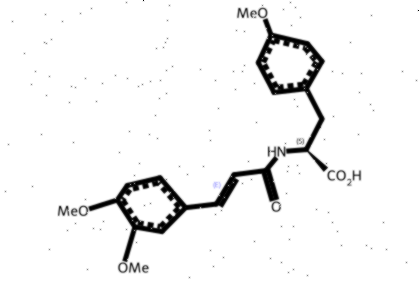 COc1ccc(C[C@H](NC(=O)/C=C/c2ccc(OC)c(OC)c2)C(=O)O)cc1